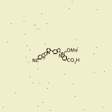 COCCn1c([C@@H]2CCc3cc(-c4cccc(OCc5ccc(C#N)cc5F)n4)ccc32)nc2ccc(C(=O)O)cc21